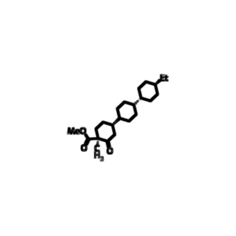 CC[C@H]1CC[C@H](C2CCC([C@@H]3CC[C@](C)(C(=O)OC)C(=O)C3)CC2)CC1